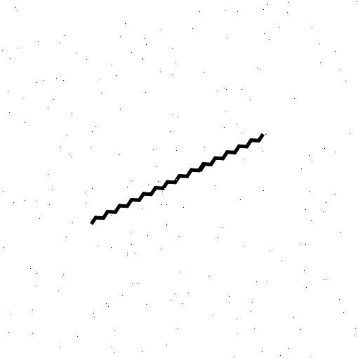 [CH2]CCCCCCCCCC=CCCCCCCCCCCCCCCCCCC